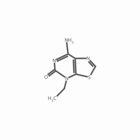 CCn1c(=O)nc(N)c2ncsc21